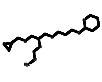 COCOC(COCCCOC1CCCCO1)COCC1CO1